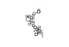 CCCOC(=O)[C@H](C)NP(=O)(Oc1ccccc1)C(C)(F)c1ccc2sc(C(=O)N[C@H]3CCCC[C@H]4CC[C@@H](C(=O)N5CCC(c6cccnc6)C5)N4C3=O)cc2c1